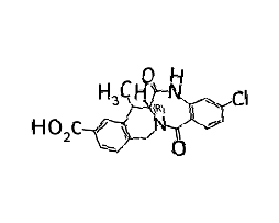 CC1c2cc(C(=O)O)ccc2CN2C(=O)c3ccc(Cl)cc3NC(=O)[C@@H]12